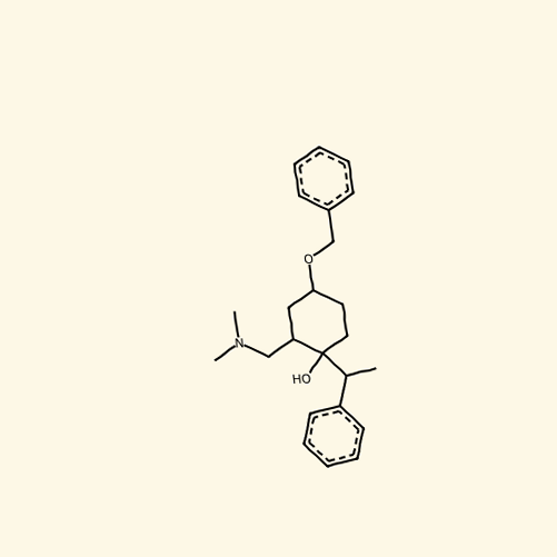 CC(c1ccccc1)C1(O)CCC(OCc2ccccc2)CC1CN(C)C